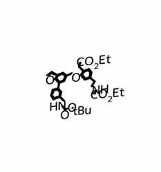 CCOC(=O)Cc1ccc(CCNC(=O)OCC)cc1OCc1cc(-c2cccc(CNC(=O)OC(C)(C)C)c2)c2occc2c1